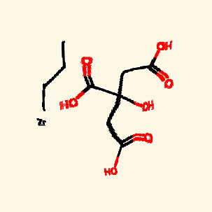 CCCC.O=C(O)CC(O)(CC(=O)O)C(=O)O.[Zr]